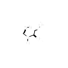 C=C(COC)N(C)/C=N\N